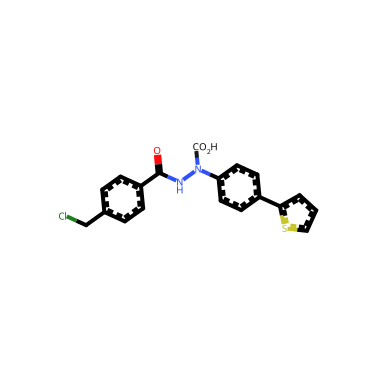 O=C(NN(C(=O)O)c1ccc(-c2cccs2)cc1)c1ccc(CCl)cc1